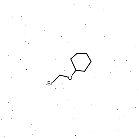 Br[CH]OC1CCCCC1